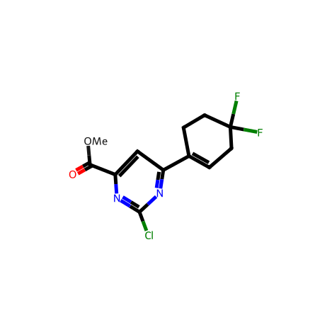 COC(=O)c1cc(C2=CCC(F)(F)CC2)nc(Cl)n1